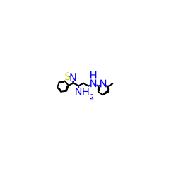 Cc1cccc(NCCC(N)c2nsc3ccccc23)n1